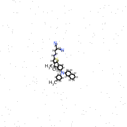 Cc1ccc(N(c2ccc3c(c2)C(C)(C)c2cc(/C=C/C=C(C#N)C#N)sc2-3)c2ccc3ccccc3c2)cc1